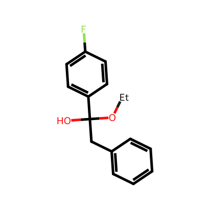 CCOC(O)(Cc1ccccc1)c1ccc(F)cc1